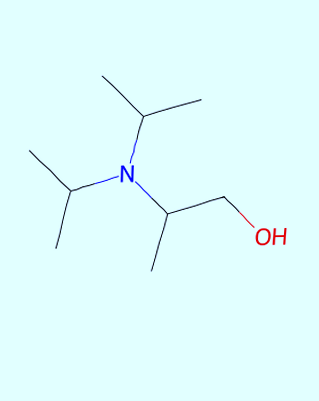 CC(C)N(C(C)C)C(C)CO